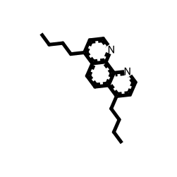 CCCCc1ccnc2c1ccc1c(CCCC)ccnc12